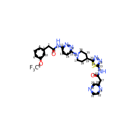 O=C(Cc1cccc(OC(F)(F)F)c1)Nc1ccc(N2CCC(c3nnc(NC(=O)Cc4cnccn4)s3)CC2)nn1